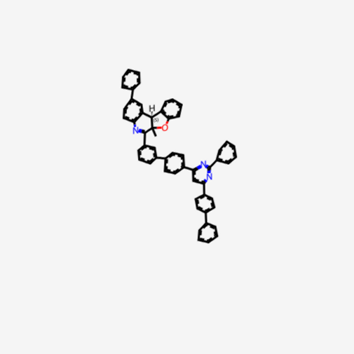 CC12Oc3ccccc3[C@@H]1c1cc(-c3ccccc3)ccc1N=C2c1cccc(-c2ccc(-c3cc(-c4ccc(-c5ccccc5)cc4)nc(-c4ccccc4)n3)cc2)c1